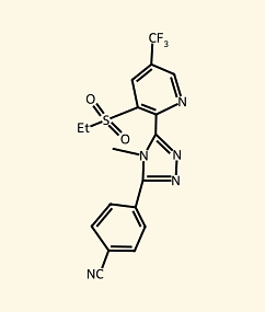 CCS(=O)(=O)c1cc(C(F)(F)F)cnc1-c1nnc(-c2ccc(C#N)cc2)n1C